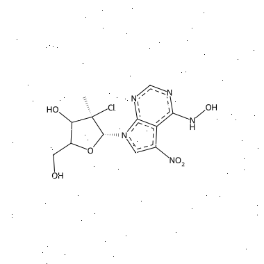 C[C@@]1(Cl)C(O)C(CO)O[C@H]1n1cc([N+](=O)[O-])c2c(NO)ncnc21